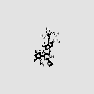 CCOC(=O)C1=C(CN2CC(F)(F)C3C2CC(C)N3CCC(C)(C)C(=O)O)NC(c2nccs2)=NC1c1cccc(F)c1C